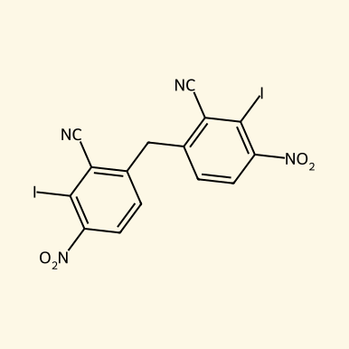 N#Cc1c(Cc2ccc([N+](=O)[O-])c(I)c2C#N)ccc([N+](=O)[O-])c1I